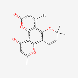 CCc1[c]c(=O)oc2c1c1c(c3oc(C)cc(=O)c32)C=CC(C)(C)O1